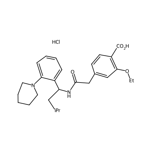 CCOc1cc(CC(=O)NC(CC(C)C)c2ccccc2N2CCCCC2)ccc1C(=O)O.Cl